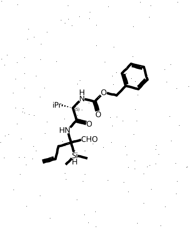 C=CCC(C=O)(NC(=O)[C@@H](NC(=O)OCc1ccccc1)C(C)C)[SiH](C)C